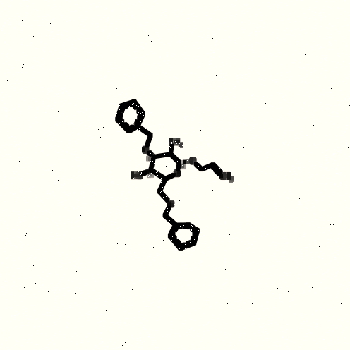 C=CCO[C@@H]1OC(COCc2ccccc2)[C@@H](O)[C@@H](OCc2ccccc2)C1C